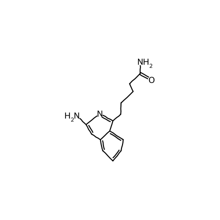 NC(=O)CCCCc1nc(N)cc2ccccc12